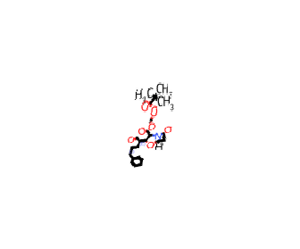 CC(C)(C)C(=O)OCOC(=O)C1/C(=C(\C=O)C/C=C\c2ccccc2)O[C@@H]2CC(=O)N12